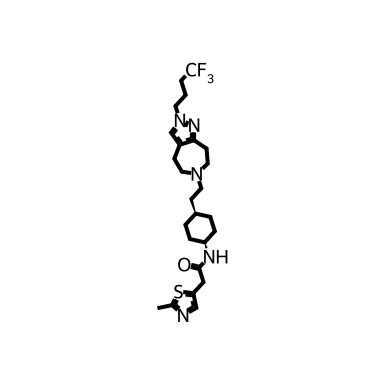 Cc1ncc(CC(=O)N[C@H]2CC[C@H](CCN3CCc4cn(CCCC(F)(F)F)nc4CC3)CC2)s1